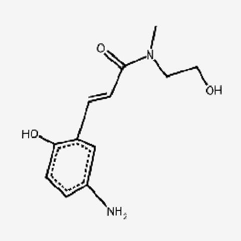 CN(CCO)C(=O)C=Cc1cc(N)ccc1O